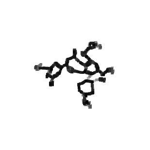 COc1cc(OC)c2c(=O)cc(-c3cc(Cl)nc(Cl)c3)oc2c1[C@H]1CCN(C)C[C@H]1O